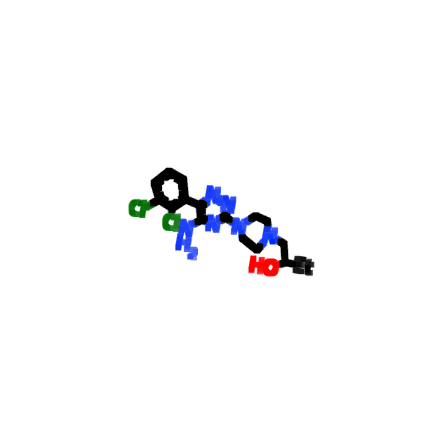 CCC(O)CN1CCN(c2nnc(-c3cccc(Cl)c3Cl)c(N)n2)CC1